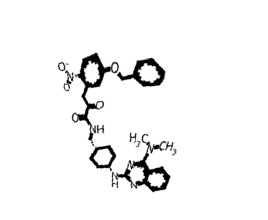 CN(C)c1nc(N[C@H]2CC[C@@H](CNC(=O)C(=O)Cc3cc(OCc4ccccc4)ccc3[N+](=O)[O-])CC2)nc2ccccc12